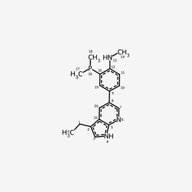 CCc1c[nH]c2ncc(-c3ccc(NC)c(P(C)C)c3)cc12